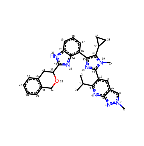 CC(C)c1nc2nn(C)cc2cc1-c1nc(-c2cccc3[nH]c(C4Cc5ccccc5CO4)nc23)c(C2CC2)n1C